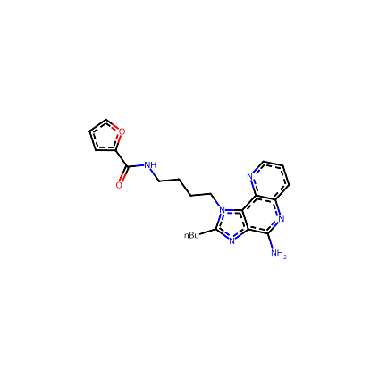 CCCCc1nc2c(N)nc3cccnc3c2n1CCCCNC(=O)c1ccco1